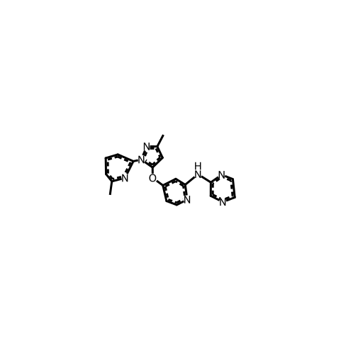 Cc1cccc(-n2nc(C)cc2Oc2ccnc(Nc3cnccn3)c2)n1